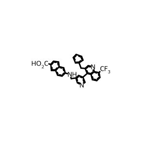 O=C(O)c1ccc2cc(NCc3cncc(-c4c(Cc5ccccc5)cnc5c(C(F)(F)F)cccc45)c3)ccc2c1